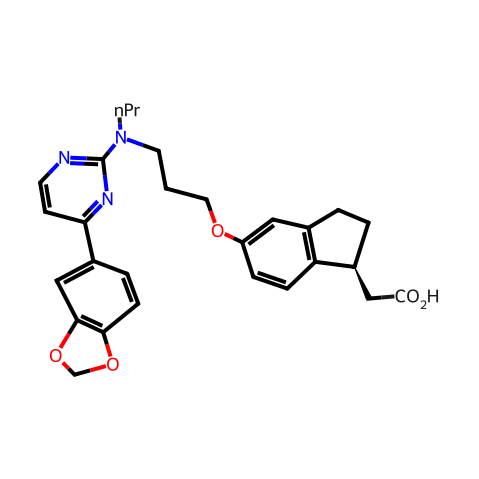 CCCN(CCCOc1ccc2c(c1)CC[C@H]2CC(=O)O)c1nccc(-c2ccc3c(c2)OCO3)n1